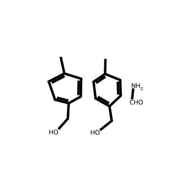 Cc1ccc(CO)cc1.Cc1ccc(CO)cc1.NC=O